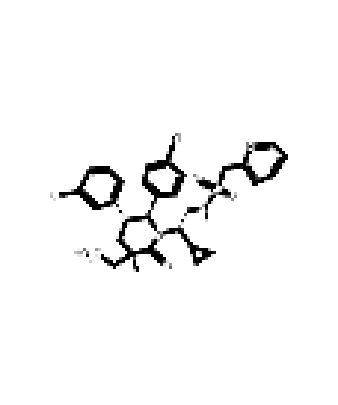 C[C@@]1(CC(=O)O)C[C@H](c2cccc(Cl)c2)[C@@H](c2ccc(Cl)cc2)N([C@H](CNS(=O)(=O)Cc2ccccn2)C2CC2)C1=O